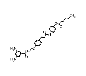 CCCCCC(=O)Oc1ccc(OC(=O)C=Cc2ccc(OCCOC(=O)c3cc(N)cc(N)c3)cc2)cc1